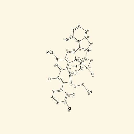 CSc1nc2c(F)c(-c3cccc(Cl)c3Cl)c(CCC#N)cc2c2c1cc(C1CCc3cccc(=O)n31)n2[C@H]1[C@@H]2C[C@H]1N(C(=O)O)C2